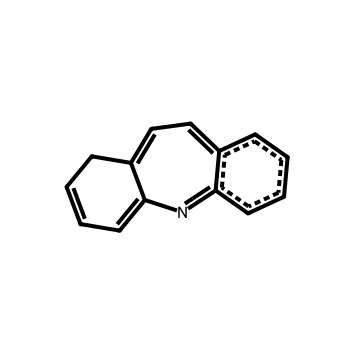 C1=CCC2=CC=c3ccccc3=NC2=C1